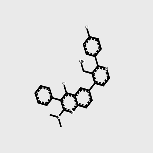 CN(C)c1nc2ccc(-c3ccnc(-c4ccc(Cl)cc4)c3CO)cc2c(Cl)c1-c1ccccc1